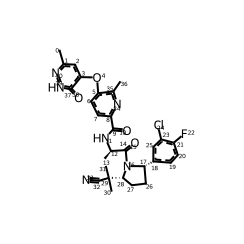 Cc1cc(Oc2ccc(C(=O)N[C@H](C)C(=O)N3[C@H](c4ccc(F)c(Cl)c4)CC[C@@H]3C(C)(C)C#N)nc2C)c(=O)[nH]n1